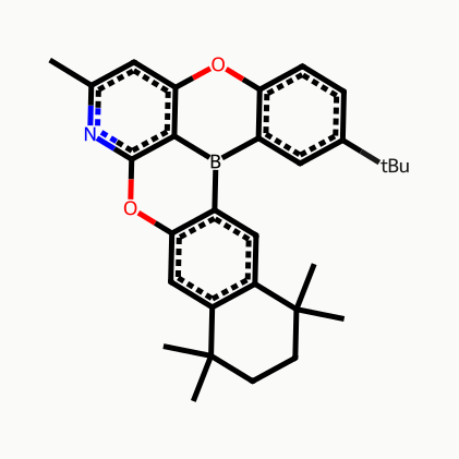 Cc1cc2c3c(n1)Oc1cc4c(cc1B3c1cc(C(C)(C)C)ccc1O2)C(C)(C)CCC4(C)C